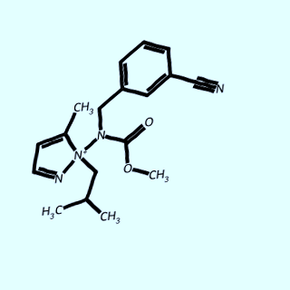 COC(=O)N(Cc1cccc(C#N)c1)[N+]1(CC(C)C)N=CC=C1C